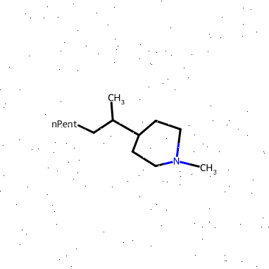 CCCCCCC(C)C1CCN(C)CC1